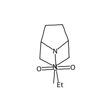 CCS(=O)(=O)N1C2CCC1CN(C)C2